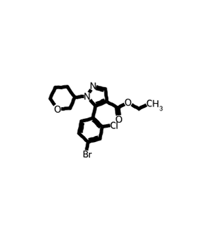 CCOC(=O)c1cnn(C2CCCOC2)c1-c1ccc(Br)cc1Cl